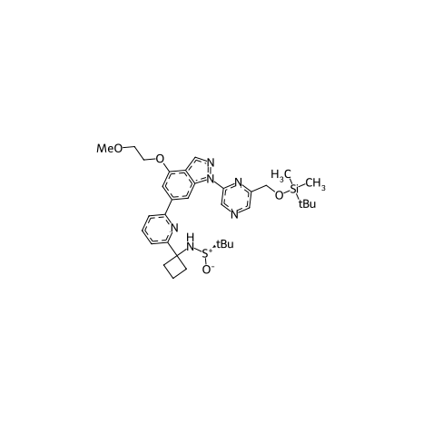 COCCOc1cc(-c2cccc(C3(N[S@+]([O-])C(C)(C)C)CCC3)n2)cc2c1cnn2-c1cncc(CO[Si](C)(C)C(C)(C)C)n1